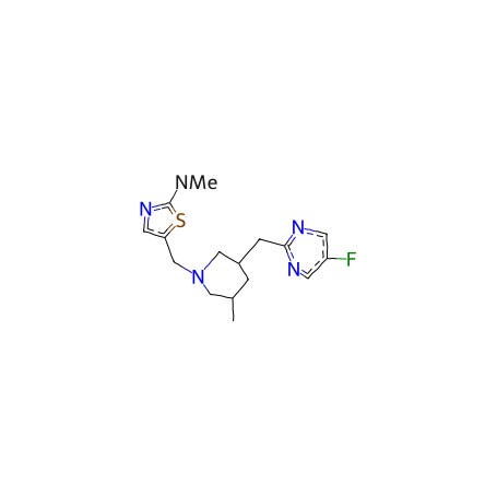 CNc1ncc(CN2CC(C)CC(Cc3ncc(F)cn3)C2)s1